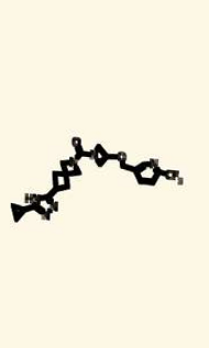 O=C(N1CC(OCc2ccc(C(F)(F)F)nc2)C1)N1CC2(CC(c3nnc(C4CC4)[nH]3)C2)C1